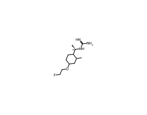 CC1CC(OCCF)CCC1[C@@H](C)NC(=N)N